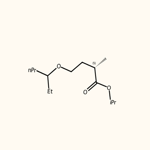 CCCC(CC)OCC[C@H](C)C(=O)OC(C)C